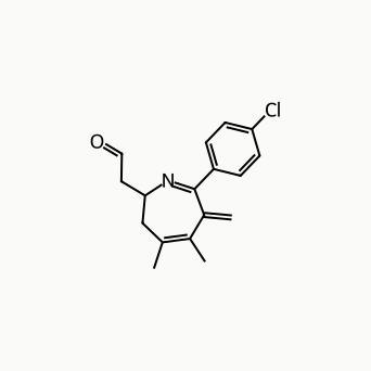 C=C1C(c2ccc(Cl)cc2)=NC(CC=O)CC(C)=C1C